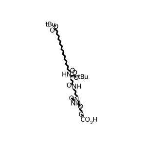 CC(C)(C)OC(=O)CCCCCCCCCCCCCCCCC(=O)N[C@@H](CCC(=O)NCCCCN(CCOCCOCC(=O)O)C(N)=O)C(=O)OC(C)(C)C